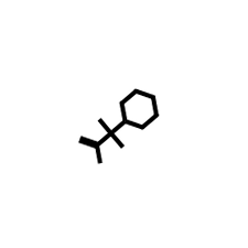 C=C(C)C(C)(C)C1CCCCC1